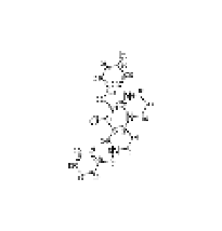 O=C1C2=C(CCN(Cc3ccccc3)C2)N2CCCN=C2N1Cc1ccc(F)cc1